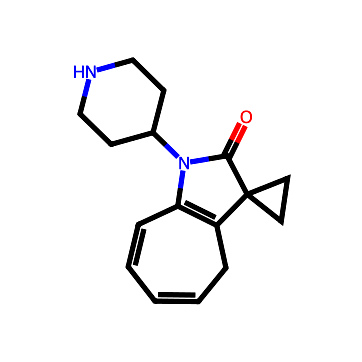 O=C1N(C2CCNCC2)C2=C(CC=CC=C2)C12CC2